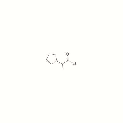 CCC(=O)C(C)[C]1CCCC1